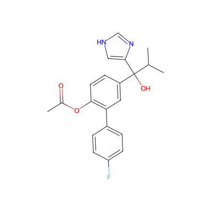 CC(=O)Oc1ccc(C(O)(c2c[nH]cn2)C(C)C)cc1-c1ccc(F)cc1